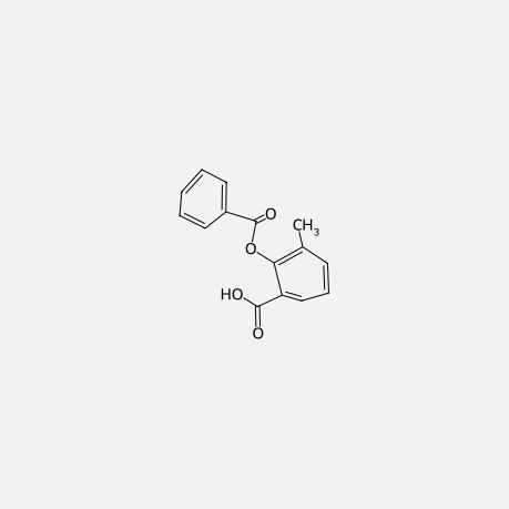 Cc1cccc(C(=O)O)c1OC(=O)c1ccccc1